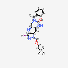 C[C@H](c1ccccc1)N1Cc2nc3c(I)nn(COCC[Si](C)(C)C)c3cc2NC1=O